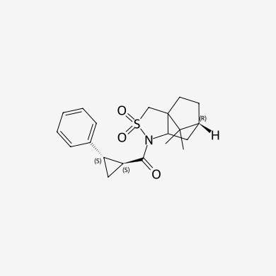 CC1(C)[C@@H]2CCC13CS(=O)(=O)N(C(=O)[C@H]1C[C@@H]1c1ccccc1)C3C2